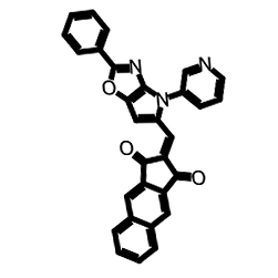 O=C1C(=Cc2cc3oc(-c4ccccc4)nc3n2-c2cccnc2)C(=O)c2cc3ccccc3cc21